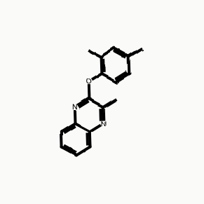 Cc1ccc(Oc2nc3ccccc3nc2C)c(C)c1